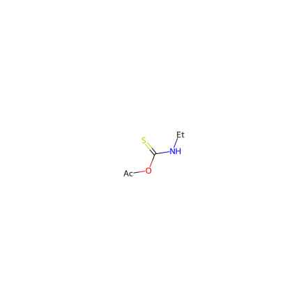 CCNC(=S)OC(C)=O